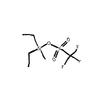 CC[Si](C)(CC)OS(=O)(=O)C(F)(F)F